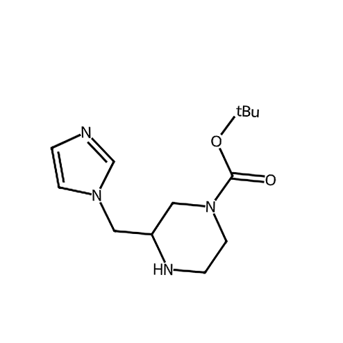 CC(C)(C)OC(=O)N1CCNC(Cn2ccnc2)C1